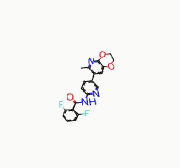 Cc1nc2c(cc1-c1ccc(NC(=O)c3c(F)cccc3F)nc1)OCCO2